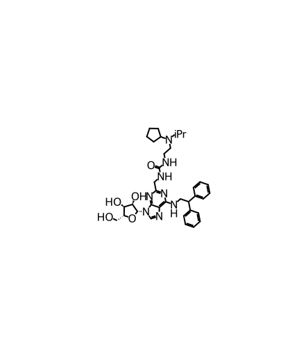 CC(C)N(CCNC(=O)NCc1nc(NCC(c2ccccc2)c2ccccc2)c2ncn([C@@H]3O[C@H](CO)[C@@H](O)[C@H]3O)c2n1)C1CCCC1